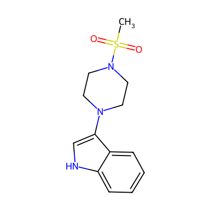 CS(=O)(=O)N1CCN(c2c[nH]c3ccccc23)CC1